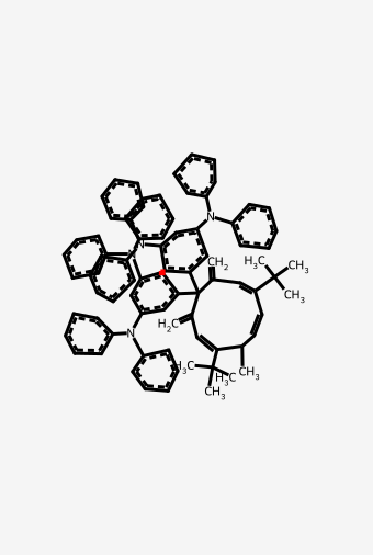 C=C1/C=C(C(C)(C)C)\C=C/C(C)/C(C(C)(C)C)=C\C(=C)C1(c1cc(N(c2ccccc2)c2ccccc2)cc(N(c2ccccc2)c2ccccc2)c1)c1cc(N(c2ccccc2)c2ccccc2)cc(N(c2ccccc2)c2ccccc2)c1